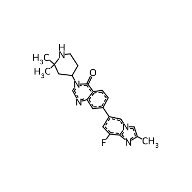 Cc1cn2cc(-c3ccc4c(=O)n(C5CCNC(C)(C)C5)cnc4c3)cc(F)c2n1